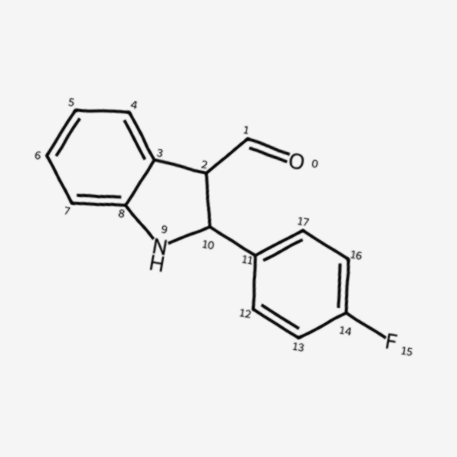 O=CC1c2ccccc2NC1c1ccc(F)cc1